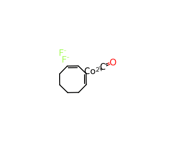 C1=CCCCCC=C1.O=[C]=[Co+2].[F-].[F-]